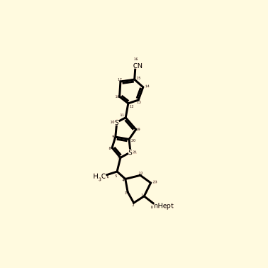 CCCCCCCC1CCC(C(C)c2cc3sc(-c4ccc(C#N)cc4)cc3s2)CC1